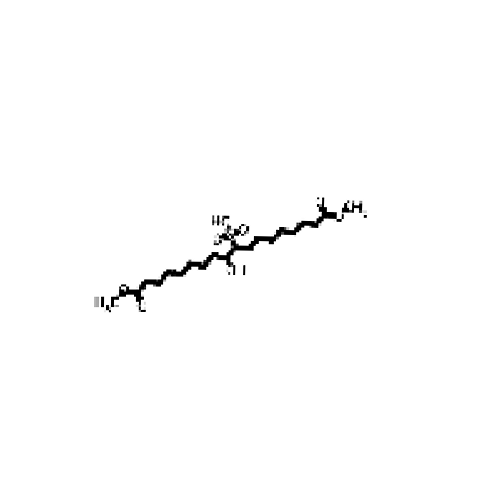 COC(=O)CCCCCCCC(O)C(CCCCCCCC(=O)OC)S(=O)(=O)O